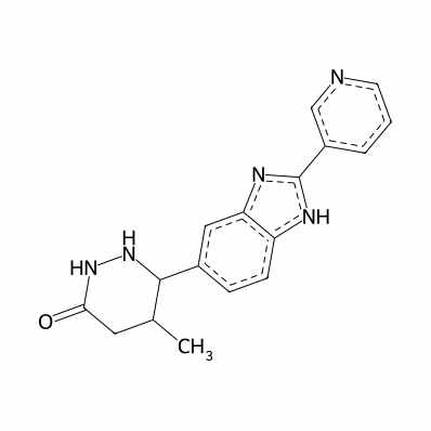 CC1CC(=O)NNC1c1ccc2[nH]c(-c3cccnc3)nc2c1